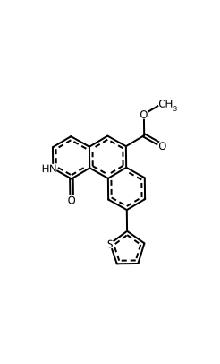 COC(=O)c1cc2cc[nH]c(=O)c2c2cc(-c3cccs3)ccc12